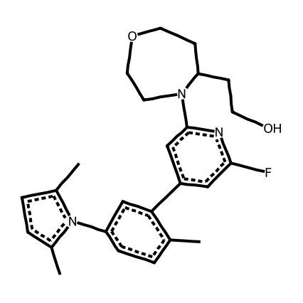 Cc1ccc(-n2c(C)ccc2C)cc1-c1cc(F)nc(N2CCOCCC2CCO)c1